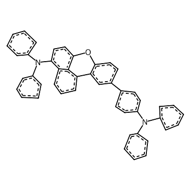 c1ccc(N(c2ccccc2)c2ccc(-c3ccc4c(c3)-c3cccc5c(N(c6ccccc6)c6ccccc6)ccc(c35)O4)cc2)cc1